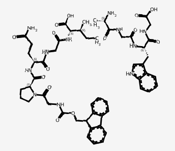 CC[C@H](C)[C@H](NC(=O)CNC(=O)[C@H](CCC(N)=O)NC(=O)[C@@H]1CCCN1C(=O)CNC(=O)OCC1c2ccccc2-c2ccccc21)C(=O)O.C[C@H](N)C(=O)NCC(=O)N[C@@H](Cc1c[nH]c2ccccc12)C(=O)NCC(=O)O